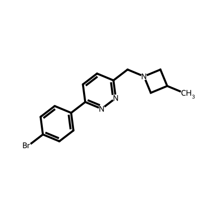 CC1CN(Cc2ccc(-c3ccc(Br)cc3)nn2)C1